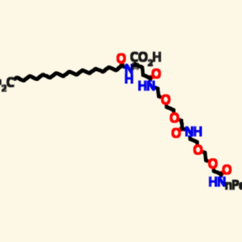 CCCCCNC(=O)COCCOCCNC(=O)COCCOCCNC(=O)CC[C@H](NC(=O)CCCCCCCCCCCCCCCCC(=O)O)C(=O)O